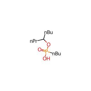 CCCCC(CCC)OP(=O)(O)CCCC